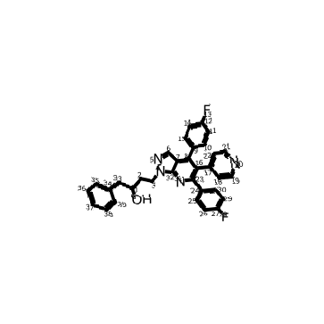 OC(CCn1ncc2c(-c3ccc(F)cc3)c(-c3ccncc3)c(-c3ccc(F)cc3)nc21)Cc1ccccc1